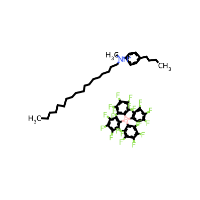 CCCCCCCCCCCCCCCCCC[NH+](C)c1ccc(CCCC)cc1.Fc1c(F)c(F)c([B-](c2c(F)c(F)c(F)c(F)c2F)(c2c(F)c(F)c(F)c(F)c2F)c2c(F)c(F)c(F)c(F)c2F)c(F)c1F